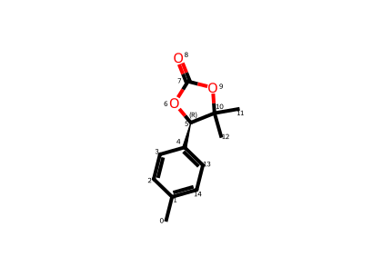 Cc1ccc([C@H]2OC(=O)OC2(C)C)cc1